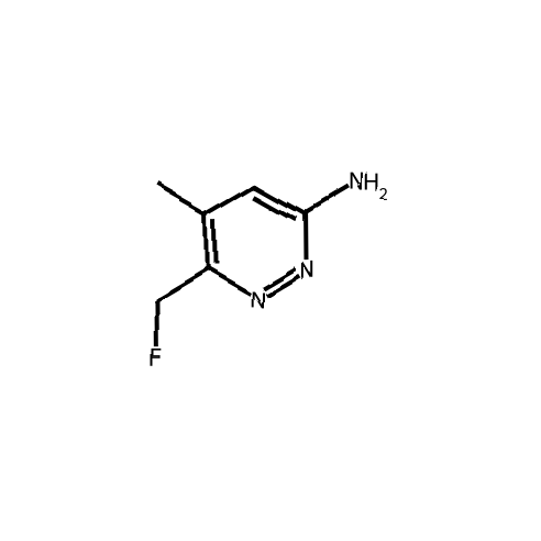 Cc1cc(N)nnc1CF